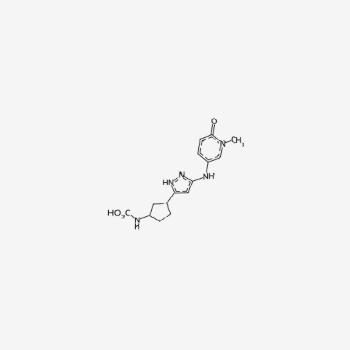 Cn1cc(Nc2cc(C3CCC(NC(=O)O)C3)[nH]n2)ccc1=O